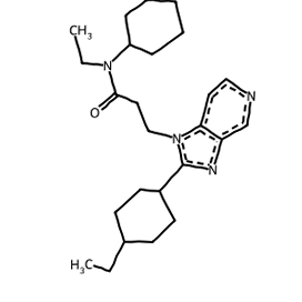 CCC1CCC(c2nc3cnccc3n2CCC(=O)N(CC)C2CCCCC2)CC1